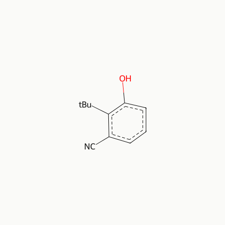 CC(C)(C)c1c(O)cccc1C#N